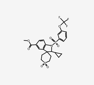 COC(=O)c1ccc2c(c1)C1(CCS(=O)(=O)CC1)C(C1CC1)N2S(=O)(=O)c1cccc(OC(F)(F)F)c1